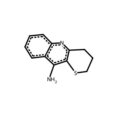 Nc1c2c(nc3ccccc13)CCCS2